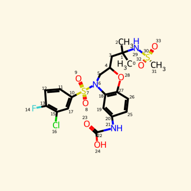 CC(C)(CC1CN(S(=O)(=O)c2ccc(F)c(Cl)c2)c2cc(NC(=O)O)ccc2O1)NS(C)(=O)=O